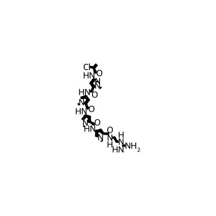 C=C(Cl)C(=O)Nc1cc(C(=O)Nc2cc(C(=O)Nc3cc(C(=O)Nc4cc(C(=O)NCCNC(=N)N)n(C)c4)n(C)c3)n(C)c2)n(C)n1